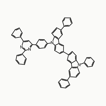 c1ccc(-c2ccc3c(c2)c2cc(-c4ccc5c(c4)c4cc(-c6ccccc6)ccc4n5-c4ccc(-c5cc(-c6ccccc6)nc(-c6ccccc6)n5)cc4)ccc2n3-c2ccccc2)cc1